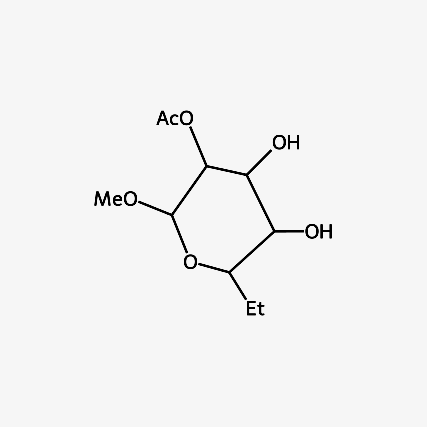 CCC1OC(OC)C(OC(C)=O)C(O)C1O